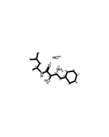 CC(C)CC(C)NC(=O)C(O)[C@H](N)CC1CCCCC1.Cl